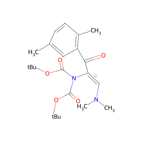 Cc1ccc(C)c(C(=O)/C(=C/N(C)C)N(C(=O)OC(C)(C)C)C(=O)OC(C)(C)C)c1